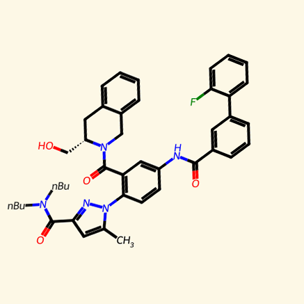 CCCCN(CCCC)C(=O)c1cc(C)n(-c2ccc(NC(=O)c3cccc(-c4ccccc4F)c3)cc2C(=O)N2Cc3ccccc3C[C@H]2CO)n1